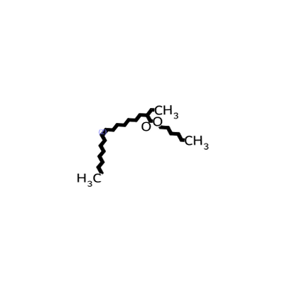 CCCCCCCC/C=C\CCCCCCC(CC)C(=O)OCCCCCC